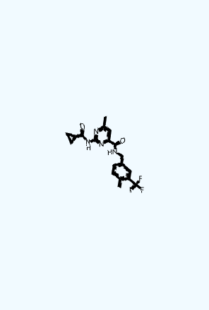 Cc1cc(C(=O)NCc2ccc(C)c(C(F)(F)I)c2)nc(NC(=O)C2CC2)n1